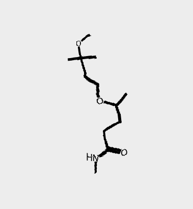 CNC(=O)CCC(C)OCCC(C)(C)OC